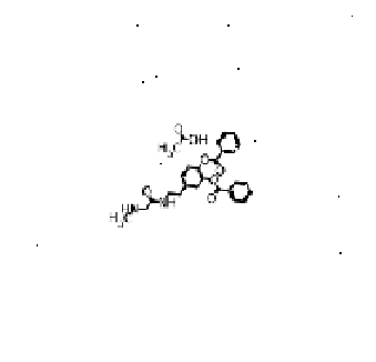 CC(=O)O.CNCC(=O)NCCc1ccc(OC(=O)c2ccccc2)c(OC(=O)c2ccccc2)c1